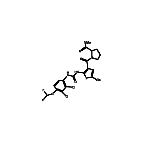 CNC(=O)C1CCCN1C(=O)c1cc(C(C)(C)C)sc1NC(=O)Nc1ccc(OC(F)F)c(Cl)c1Cl